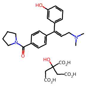 CN(C)CC=C(c1ccc(C(=O)N2CCCC2)cc1)c1cccc(O)c1.O=C(O)CC(O)(CC(=O)O)C(=O)O